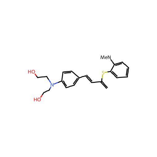 C=C(/C=C/c1ccc(N(CCO)CCO)cc1)Sc1ccccc1NC